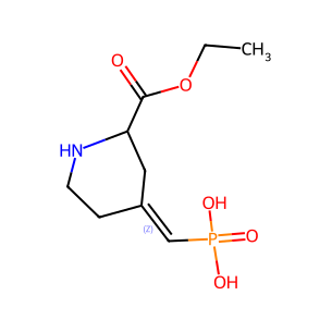 CCOC(=O)C1C/C(=C\P(=O)(O)O)CCN1